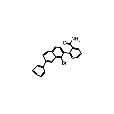 NC(=O)c1ccccc1-c1ccc2ccc(-c3ccccc3)cc2c1Br